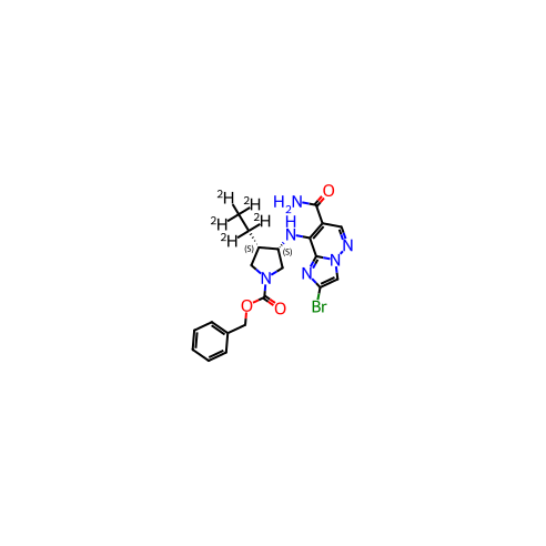 [2H]C([2H])([2H])C([2H])([2H])[C@H]1CN(C(=O)OCc2ccccc2)C[C@H]1Nc1c(C(N)=O)cnn2cc(Br)nc12